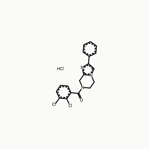 Cl.O=C(c1cccc(Cl)c1Cl)N1CCn2cc(-c3ccccc3)nc2C1